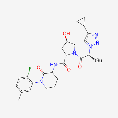 Cc1ccc(F)c(N2CCCC(NC(=O)[C@@H]3C[C@@H](O)CN3C(=O)[C@@H](n3cc(C4CC4)nn3)C(C)(C)C)C2=O)c1